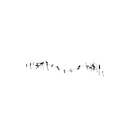 O=C(OCCOCCOCCOCCOCCOCCOCCOC(=O)c1cc(O)c(O)c(O)c1)c1cc(O)c(O)c(O)c1